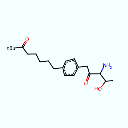 CCCCC(=O)CCCCCc1ccc(CC(=O)C(N)C(C)O)cc1